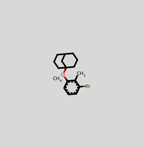 C.Cc1c(Br)cccc1OC12CCCC(CCC1)C2